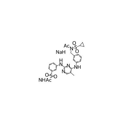 CC(=O)NS(=O)(=O)c1cccc(Nc2ncc(C)c(Nc3cccc(CN(C(C)=O)S(=O)(=O)C4CC4)c3)n2)c1.[NaH]